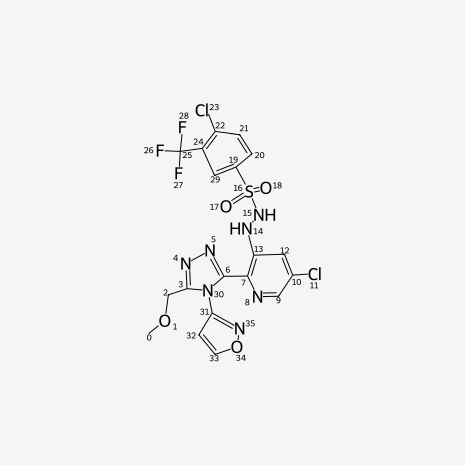 COCc1nnc(-c2ncc(Cl)cc2NNS(=O)(=O)c2ccc(Cl)c(C(F)(F)F)c2)n1-c1ccon1